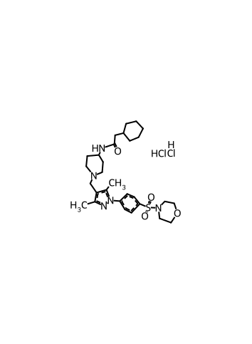 Cc1nn(-c2ccc(S(=O)(=O)N3CCOCC3)cc2)c(C)c1CN1CCC(NC(=O)CC2CCCCC2)CC1.Cl.Cl